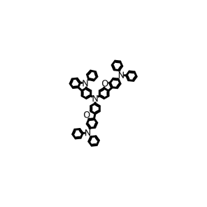 c1ccc(N(c2ccccc2)c2ccc3c(c2)oc2cc(N(c4ccc5c(c4)oc4cc(N(c6ccccc6)c6ccccc6)ccc45)c4ccc5c6ccccc6n(-c6ccccc6)c5c4)ccc23)cc1